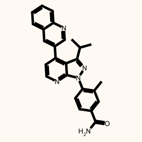 Cc1cc(C(N)=O)ccc1-n1nc(C(C)C)c2c(-c3cnc4ccccc4c3)ccnc21